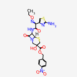 CCON=C(C(=O)NC1C(=O)N2CC(O)(C(=O)OCc3ccc([N+](=O)[O-])cc3)CS[C@H]12)c1csc(N)n1